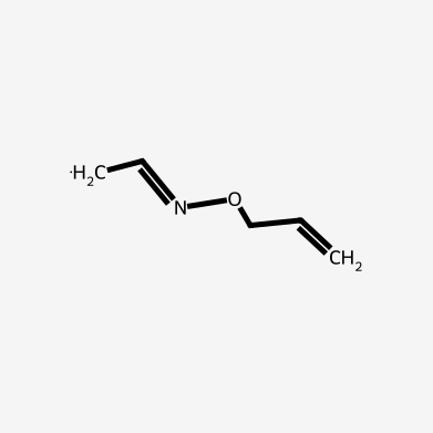 [CH2]C=NOCC=C